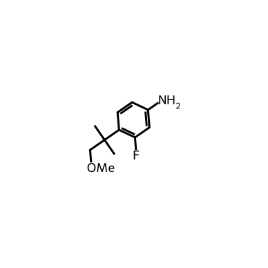 COCC(C)(C)c1ccc(N)cc1F